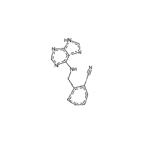 N#Cc1ccccc1CNc1ncnc2[nH]cnc12